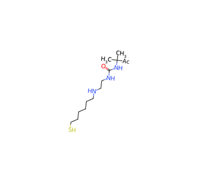 CC(=O)C(C)(C)NC(=O)NCCNCCCCCCS